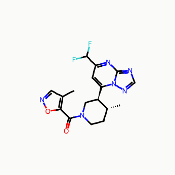 Cc1cnoc1C(=O)N1CC[C@@H](C)[C@H](c2cc(C(F)F)nc3ncnn23)C1